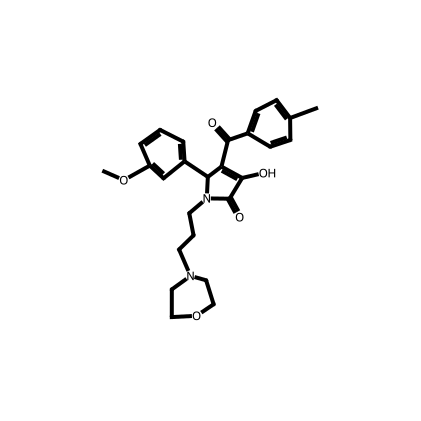 COc1cccc(C2C(C(=O)c3ccc(C)cc3)=C(O)C(=O)N2CCCN2CCOCC2)c1